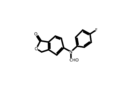 O=CN(c1ccc(F)cc1)c1ccc2c(c1)COC2=O